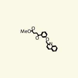 COC(=O)CCC(=O)c1cccc(OCc2ccc3ccccc3n2)c1